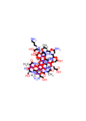 CC(C)C[C@H](NC(=O)[C@H](CC(C)C)NC(=O)[C@H](CC(N)=O)NC(=O)[C@H](C)NC(=O)[C@H](CO)NC(=O)[C@H](CCC(N)=O)NC(=O)[C@@H](N)CO)C(=O)N[C@@H](C)C(=O)N[C@@H](CCC(=O)O)C(=O)N[C@@H](C)C(=O)N[C@@H](CC(=O)O)C(=O)N[C@@H](CC(=O)O)C(=O)N[C@@H](CC(C)C)C(=O)N[C@@H](CC(N)=O)C(=O)N[C@@H](CC(=O)O)C(=O)N[C@@H](C)C(=O)N[C@@H](CCC(N)=O)C(=O)N1CCC[C@H]1C(=O)N[C@@H](CCCCN)C(=O)O